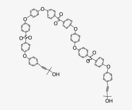 CC(C)(O)C#Cc1ccc(Oc2ccc(S(=O)(=O)c3ccc(Oc4ccc(Oc5ccc(S(=O)(=O)c6ccc(Oc7ccc(Oc8ccc(S(=O)(=O)c9ccc(Oc%10ccc(C#CC(C)(C)O)cc%10)cc9)cc8)cc7)cc6)cc5)cc4)cc3)cc2)cc1